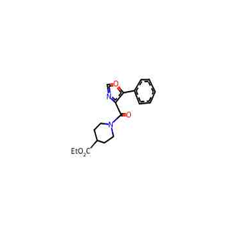 CCOC(=O)C1CCN(C(=O)c2ncoc2-c2ccccc2)CC1